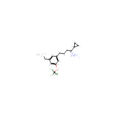 CCc1cc(CCC[C@H](N)C2CC2)cc(OC(F)(F)F)c1